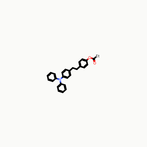 CCC(=O)Oc1ccc(CCc2ccc(N(c3ccccc3)c3ccccc3)cc2)cc1